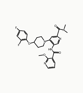 COc1ncccc1C(=O)Nc1cnc(C(=O)N(C)C)cc1N1CCC(Oc2ccc(F)cc2F)CC1